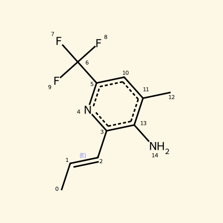 C/C=C/c1nc(C(F)(F)F)cc(C)c1N